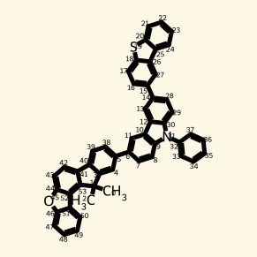 CC1(C)c2cc(-c3ccc4c(c3)c3cc(-c5ccc6sc7ccccc7c6c5)ccc3n4-c3ccccc3)ccc2-c2ccc3oc4ccccc4c3c21